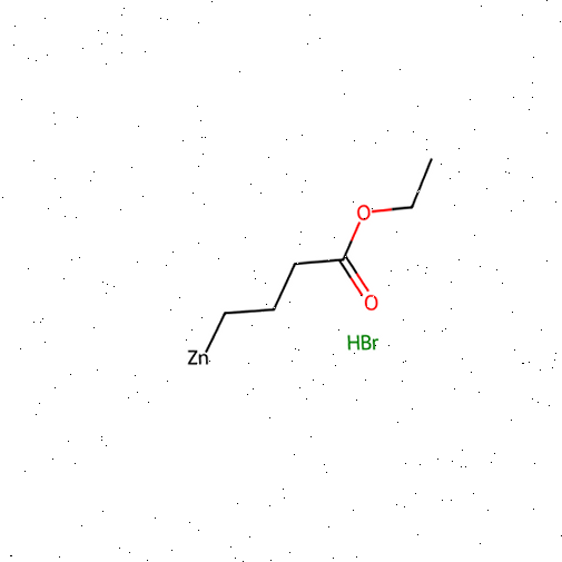 Br.CCOC(=O)CC[CH2][Zn]